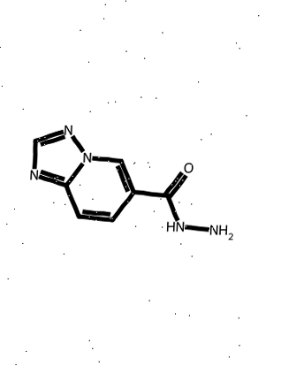 NNC(=O)c1ccc2ncnn2c1